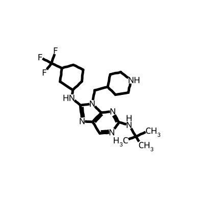 CC(C)(C)Nc1ncc2nc(NC3CCCC(C(F)(F)F)C3)n(CC3CCNCC3)c2n1